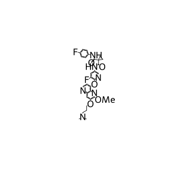 COc1nc2c(Oc3ncc(NC(=O)C4(C(=O)Nc5ccc(F)cc5)CC4)cc3F)ccnc2cc1OCCCN(C)C